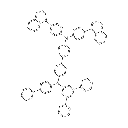 c1ccc(-c2ccc(N(c3ccc(-c4ccc(N(c5ccc(-c6cccc7ccccc67)cc5)c5ccc(-c6cccc7ccccc67)cc5)cc4)cc3)c3cc(-c4ccccc4)cc(-c4ccccc4)c3)cc2)cc1